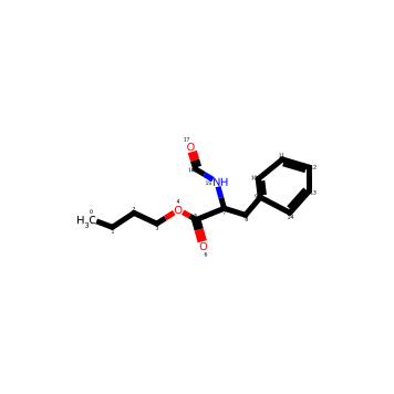 CCCCOC(=O)C(Cc1ccccc1)NC=O